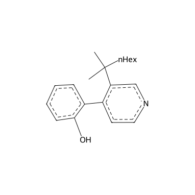 CCCCCCC(C)(C)c1cnccc1-c1ccccc1O